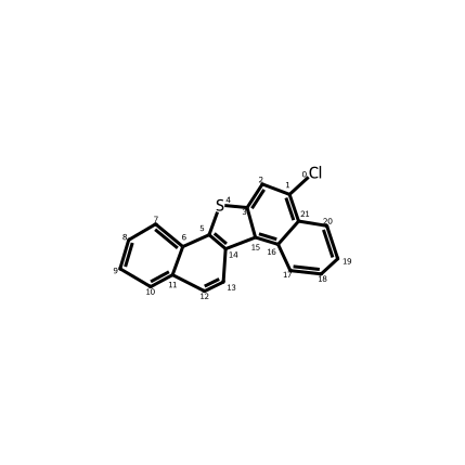 Clc1cc2sc3c4ccccc4ccc3c2c2ccccc12